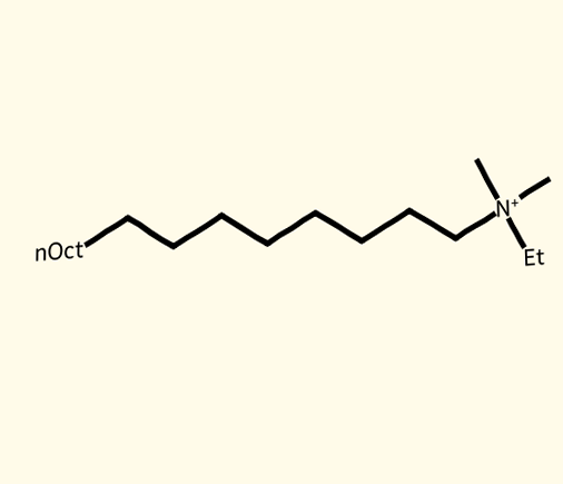 [CH2]C[N+](C)(C)CCCCCCCCCCCCCCCC